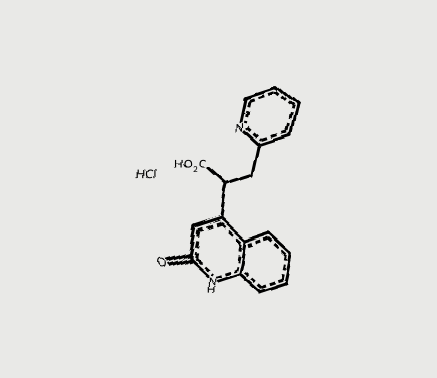 Cl.O=C(O)C(Cc1ccccn1)c1cc(=O)[nH]c2ccccc12